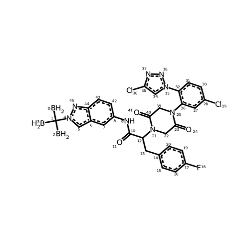 BC(B)(B)n1cc2cc(NC(=O)C(Cc3ccc(F)cc3)N3CC(=O)N(c4cc(Cl)ccc4-n4cc(Cl)nn4)CC3=O)ccc2n1